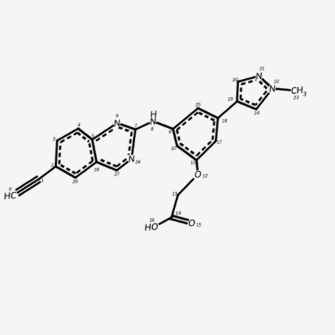 C#Cc1ccc2nc(Nc3cc(OCC(=O)O)cc(-c4cnn(C)c4)c3)ncc2c1